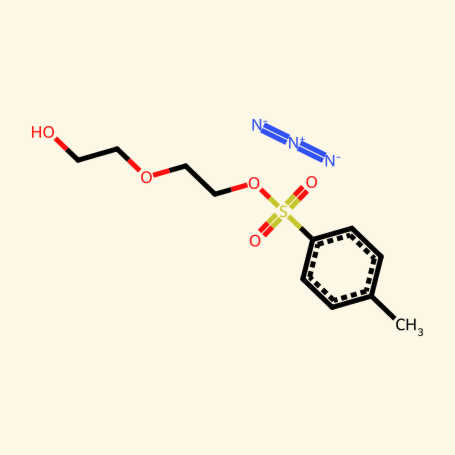 Cc1ccc(S(=O)(=O)OCCOCCO)cc1.[N-]=[N+]=[N-]